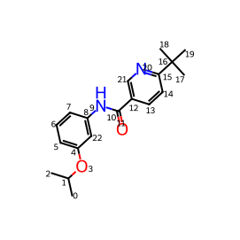 CC(C)Oc1cccc(NC(=O)c2ccc(C(C)(C)C)nc2)c1